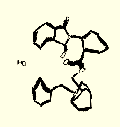 Cl.O=C(OCC1C2CCC1N(Cc1ccccc1)C2)c1ccccc1N1C(=O)c2ccccc2C1=O